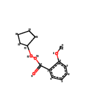 CCOc1ccccc1C(=O)OO[C]1CCCC1